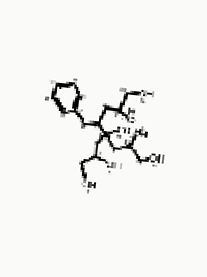 O=C(O)C(CC(O)CO)(CC(O)CO)C(Cc1ccccc1)CC(O)CO